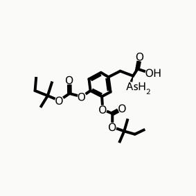 CCC(C)(C)OC(=O)Oc1ccc(C[C@H]([AsH2])C(=O)O)cc1OC(=O)OC(C)(C)CC